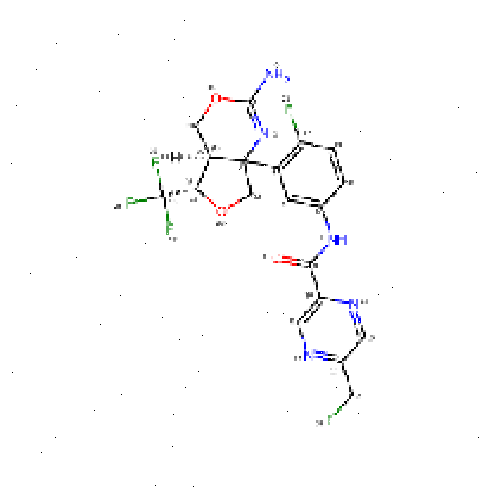 NC1=NC2(c3cc(NC(=O)c4cnc(CF)cn4)ccc3F)CO[C@H](C(F)(F)F)[C@H]2CO1